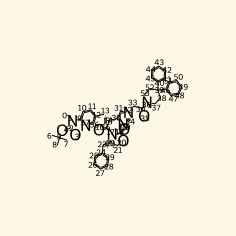 CN(C(=O)OC(C)(C)C)c1ccc(C[C@@H](C(=O)N2C(=O)OC[C@H]2Cc2ccccc2)c2cn(CC(=O)N3CCC(c4ccccc4)(c4ccccc4)CC3)cn2)cn1